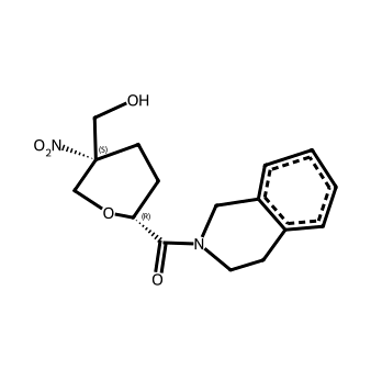 O=C([C@H]1CC[C@@](CO)([N+](=O)[O-])CO1)N1CCc2ccccc2C1